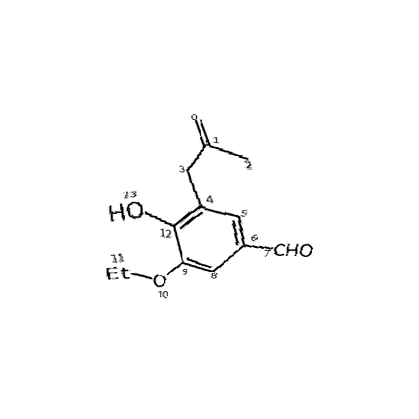 C=C(C)Cc1cc(C=O)cc(OCC)c1O